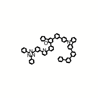 c1ccc(-c2cccc(-c3cccc(-c4ccc5c(c4)c4ccccc4n5-c4ccc(-c5cccc(-c6cc(-c7cccc(-c8cccc(-c9cccc(-c%10nc(-c%11ccccc%11)nc(-c%11ccccc%11)n%10)c9)n8)c7)c7oc8ccccc8c7c6)c5)cc4)c3)c2)cc1